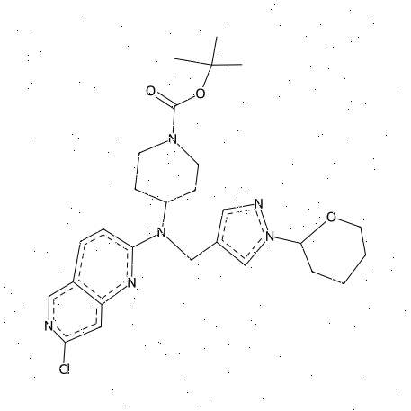 CC(C)(C)OC(=O)N1CCC(N(Cc2cnn(C3CCCCO3)c2)c2ccc3cnc(Cl)cc3n2)CC1